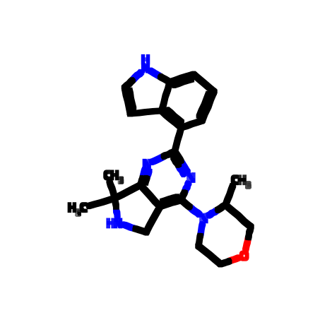 CC1COCCN1c1nc(-c2cccc3[nH]ccc23)nc2c1CNC2(C)C